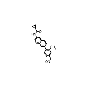 Cc1cc(CN=O)ncc1-c1ccc2cc(NC(=O)C3CC3)ncc2c1